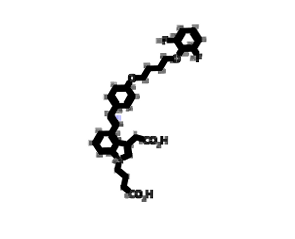 O=C(O)CCCn1cc(CC(=O)O)c2c(/C=C/c3ccc(OCCCCOc4c(F)cccc4F)cc3)cccc21